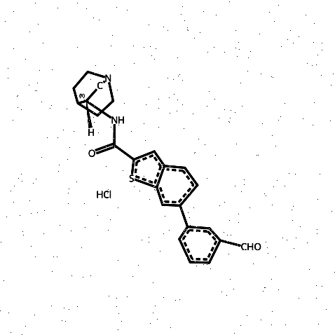 Cl.O=Cc1cccc(-c2ccc3cc(C(=O)N[C@H]4CN5CCC4CC5)sc3c2)c1